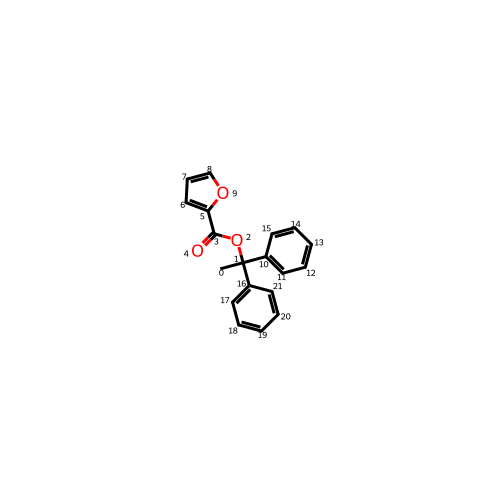 CC(OC(=O)c1ccco1)(c1ccccc1)c1ccccc1